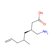 C=CCC(C)C[C@H](CN)CC(=O)O